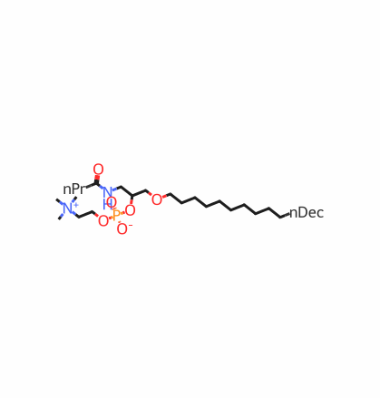 CCCCCCCCCCCCCCCCCCCCOCC(CNC(=O)CCC)OP(=O)([O-])OCC[N+](C)(C)C